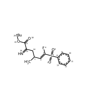 CC(/C=C(\F)S(=O)(=O)c1ccccc1)CC(=N)C(=O)OC(C)(C)C